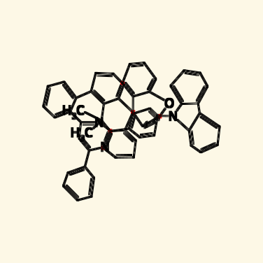 CC1(C)c2ccccc2C2(c3ccccc3Oc3ccccc32)c2cccc(-c3ccccc3-c3cc(-c4ccccc4)nc(-c4ccc(-n5c6ccccc6c6ccccc65)cc4)n3)c21